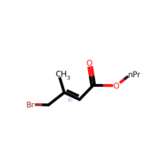 CCCOC(=O)/C=C(\C)CBr